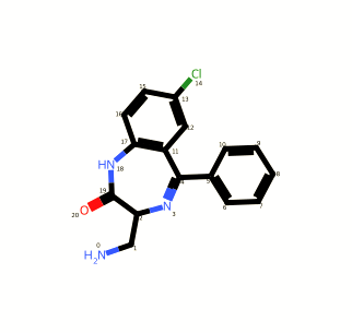 NCC1N=C(c2ccccc2)c2cc(Cl)ccc2NC1=O